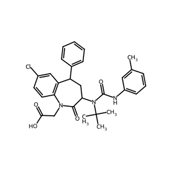 Cc1cccc(NC(=O)N(C2CC(c3ccccc3)c3cc(Cl)ccc3N(CC(=O)O)C2=O)C(C)(C)C)c1